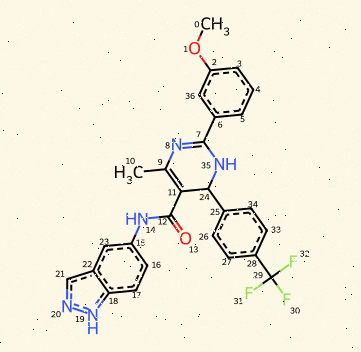 COc1cccc(C2=NC(C)=C(C(=O)Nc3ccc4[nH]ncc4c3)C(c3ccc(C(F)(F)F)cc3)N2)c1